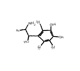 [2H]c1c([2H])c(C(O)C(N)C(C)=O)c([2H])c(O)c1O